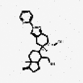 C=C1CCC2C(CN)C([C@]3(C)Cc4cn(-c5ccccn5)nc4C[C@@H]3CO)CCC12C